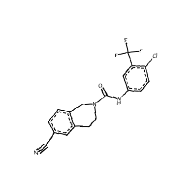 N#Cc1ccc2c(c1)CCN(C(=O)Nc1ccc(Cl)c(C(F)(F)F)c1)C2